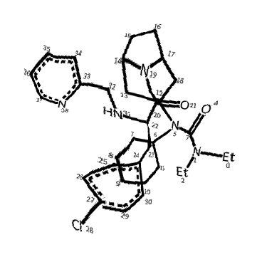 CCN(CC)C(=O)N(C1CCCCC1)C1CC2CCC(C1)N2C(=O)[C@@H](Cc1ccc(Cl)cc1)NCc1ccccn1